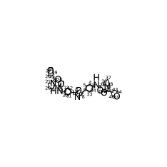 O=C(Nc1ccc(-c2cnc(-c3ccc(NC(=O)[C@@H]4CCCN4C(=O)C4CCOC4)cc3)o2)cc1)[C@@H]1CCCN1C(=O)C1CCOC1